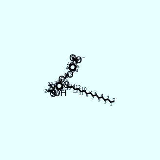 CCCCCCCCCCCCCCCCOc1cc(O)c(N(C)C(C)=O)cc1OCCOc1ccc([N+](=O)[O-])cc1